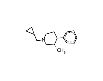 C[C@@H]1CN(CC2CC2)CCC1c1ccccc1